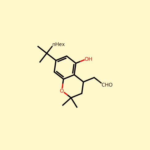 CCCCCCC(C)(C)c1cc(O)c2c(c1)OC(C)(C)CC2CC=O